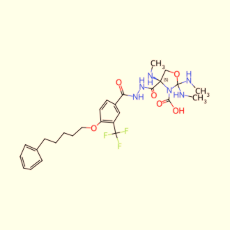 CNC1(NC)OC[C@@](NC)(C(=O)NNC(=O)c2ccc(OCCCCCc3ccccc3)c(C(F)(F)F)c2)N1C(=O)O